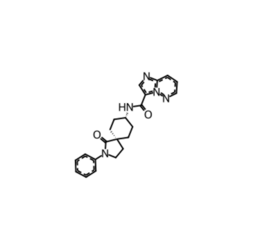 O=C(N[C@H]1CC[C@@]2(CCN(c3ccccc3)C2=O)CC1)c1cnc2cccnn12